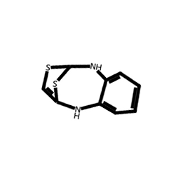 C1=C2Nc3ccccc3NC(S1)S2